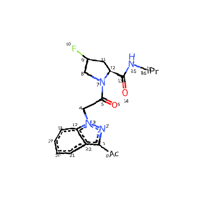 CC(=O)c1nn(CC(=O)N2CC(F)C[C@H]2C(=O)NC(C)C)c2ccccc12